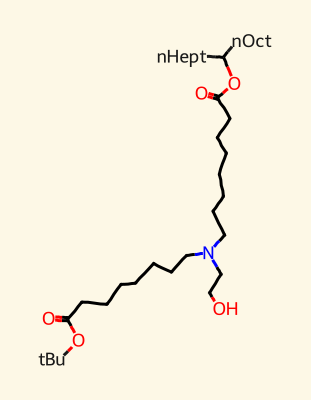 CCCCCCCCC(CCCCCCC)OC(=O)CCCCCCCN(CCO)CCCCCCCC(=O)OC(C)(C)C